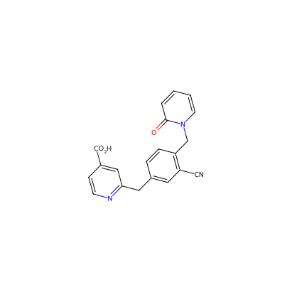 N#Cc1cc(Cc2cc(C(=O)O)ccn2)ccc1Cn1ccccc1=O